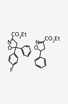 CCOC(=O)C1=NOC(c2ccccc2)(c2ccc(F)cc2)C1.CCOC(=O)C1=NOC(c2ccccc2)C1